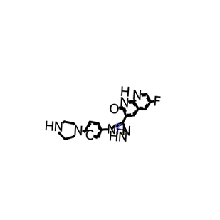 N=N/C(=C\Nc1ccc(N2CCCNCC2)cc1)c1cc2cc(F)cnc2[nH]c1=O